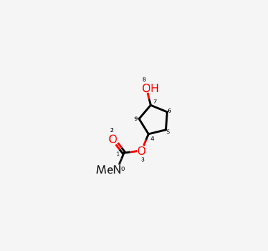 CNC(=O)OC1CCC(O)C1